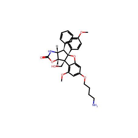 COc1ccc([C@@]23Oc4cc(OCCCCN)cc(OC)c4[C@]2(CO)[C@@H]2OC(=O)N[C@@H]2[C@H]3c2ccccc2)cc1